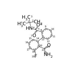 CC(C)(C)NS(=O)(=O)c1ccccc1-c1cc[c]c(F)c1C(N)=O